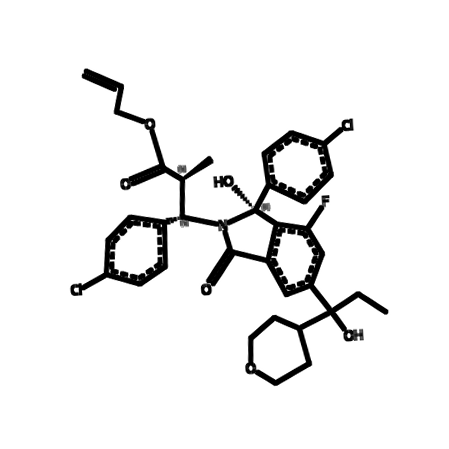 C=CCOC(=O)[C@@H](C)[C@@H](c1ccc(Cl)cc1)N1C(=O)c2cc(C(O)(CC)C3CCOCC3)cc(F)c2[C@]1(O)c1ccc(Cl)cc1